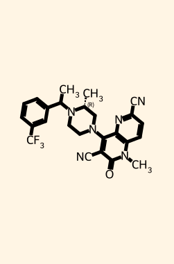 CC(c1cccc(C(F)(F)F)c1)N1CCN(c2c(C#N)c(=O)n(C)c3ccc(C#N)nc23)C[C@H]1C